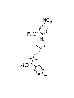 CC(C)(CCN1CCN(c2ccc([N+](=O)[O-])cc2C(F)(F)F)CC1)C(O)c1ccc(F)cc1